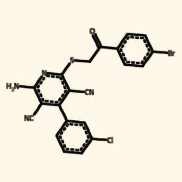 N#Cc1c(N)nc(SCC(=O)c2ccc(Br)cc2)c(C#N)c1-c1cccc(Cl)c1